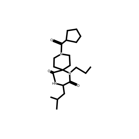 CCCN1C(=O)C(CC(C)C)NC(=O)C12CCN(C(=O)C1CCCC1)CC2